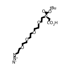 CC(C)(C)OC(=O)N(CCOCCOCCOCCOCCN=[N+]=[N-])CC(=O)O